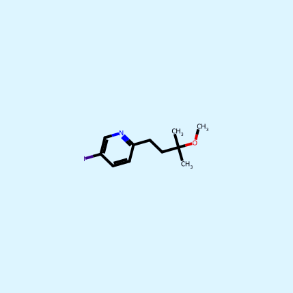 COC(C)(C)CCc1ccc(I)cn1